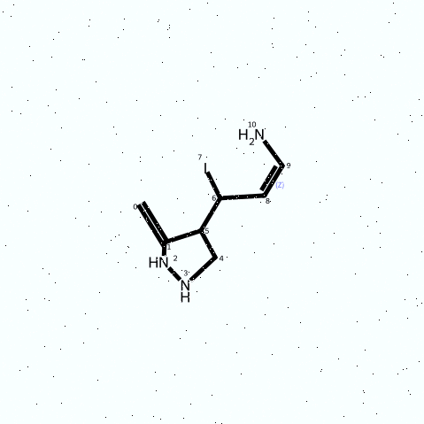 C=C1NNCC1C(I)/C=C\N